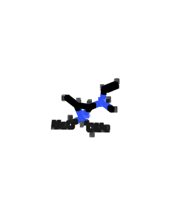 C=CN(C)C1C(C)[N+]1(OC)OC